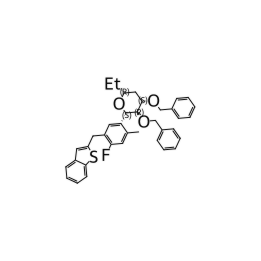 CC[C@@H]1C[C@H](OCc2ccccc2)[C@@H](OCc2ccccc2)[C@H](c2cc(Cc3cc4ccccc4s3)c(F)cc2C)O1